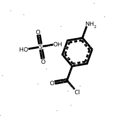 Nc1ccc(C(=O)Cl)cc1.O=S(=O)(O)O